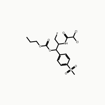 CCCOC(=O)OC(c1ccc(S(C)(=O)=O)cc1)C(CF)NC(=O)C(Cl)Cl